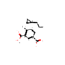 CCCC1CC1.Cc1ccc(C(=O)O)cc1C(=O)O